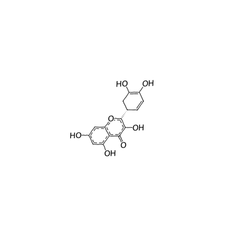 O=c1c(O)c([C@H]2C=CC(O)=C(O)C2)oc2cc(O)cc(O)c12